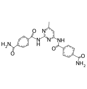 Cc1cc(NC(=O)c2ccc(C(N)=O)cc2)nc(NC(=O)c2ccc(C(N)=O)cc2)n1